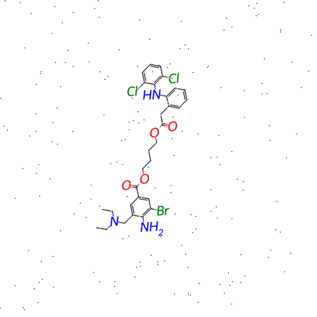 CCN(CC)Cc1cc(C(=O)OCCCCOC(=O)Cc2ccccc2Nc2c(Cl)cccc2Cl)cc(Br)c1N